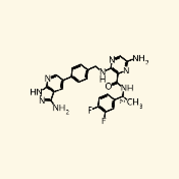 C[C@H](NC(=O)c1nc(N)cnc1NCc1ccc(-c2cnc3[nH]nc(N)c3c2)cc1)c1ccc(F)c(F)c1